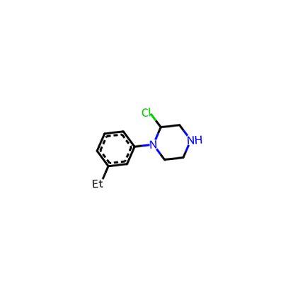 CCc1cccc(N2CCNCC2Cl)c1